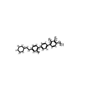 CCOc1ccc(-c2ccc(-c3ccc(CCC4CCCCC4)cc3F)cc2)c(F)c1F